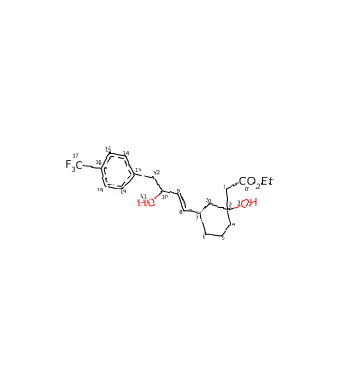 CCOC(=O)CC1(O)CCCC(C=CC(O)Cc2ccc(C(F)(F)F)cc2)C1